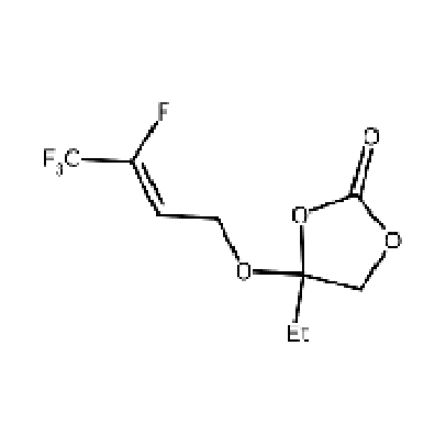 CCC1(OCC=C(F)C(F)(F)F)COC(=O)O1